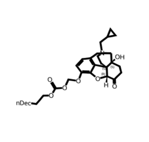 CCCCCCCCCCCCOC(=O)OCOc1ccc2c3c1O[C@H]1C(=O)CC[C@@]4(O)C(C2)N(CC2CC2)CC[C@]314